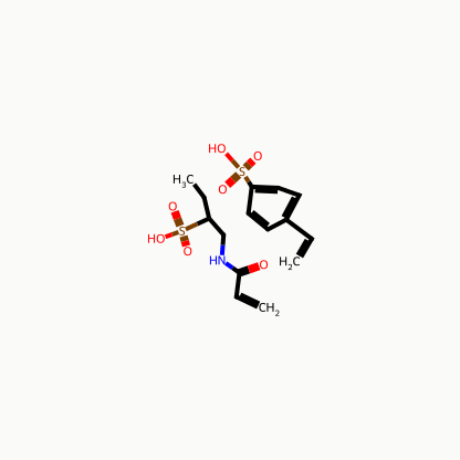 C=CC(=O)NCC(CC)S(=O)(=O)O.C=Cc1ccc(S(=O)(=O)O)cc1